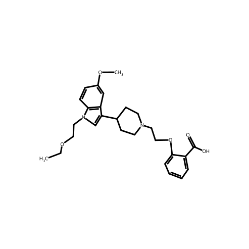 CCOCCn1cc(C2CCN(CCOc3ccccc3C(=O)O)CC2)c2cc(OC)ccc21